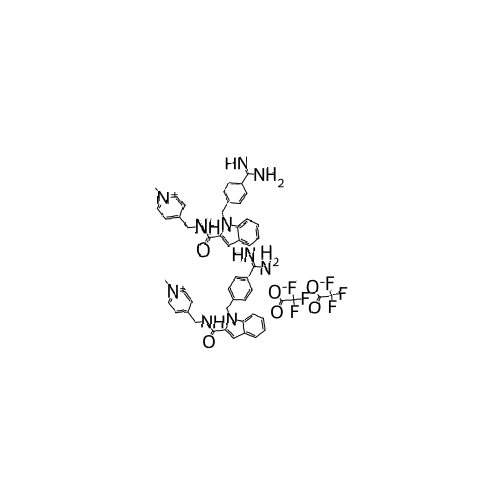 C[n+]1ccc(CNC(=O)c2cc3ccccc3n2Cc2ccc(C(=N)N)cc2)cc1.C[n+]1ccc(CNC(=O)c2cc3ccccc3n2Cc2ccc(C(=N)N)cc2)cc1.O=C([O-])C(F)(F)F.O=C([O-])C(F)(F)F